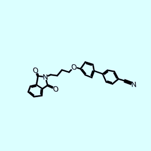 N#Cc1ccc(-c2ccc(OCCCCN3C(=O)c4ccccc4C3=O)cc2)cc1